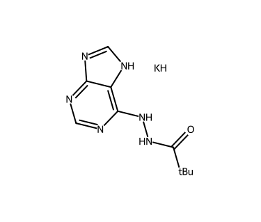 CC(C)(C)C(=O)NNc1ncnc2nc[nH]c12.[KH]